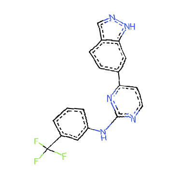 FC(F)(F)c1cccc(Nc2nccc(-c3ccc4cn[nH]c4c3)n2)c1